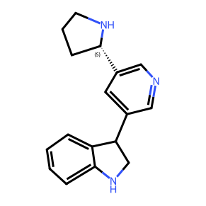 c1ccc2c(c1)NCC2c1cncc([C@@H]2CCCN2)c1